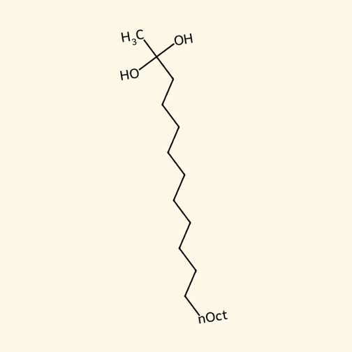 [CH2]CCCCCCCCCCCCCCCCCC(C)(O)O